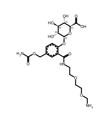 NCOCCOCCNC(=O)c1cc(COC(N)=O)ccc1O[C@@H]1O[C@H](C(=O)O)[C@@H](O)[C@H](O)[C@H]1O